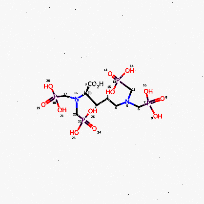 O=C(O)[C@@H](CCCN(CP(=O)(O)O)CP(=O)(O)O)N(CP(=O)(O)O)CP(=O)(O)O